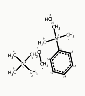 CCl.C[N+](C)(C)C.C[N+](C)(C)c1ccccc1.Cl